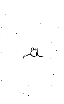 CC1=NOC(F)C1